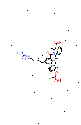 CC(CC(=O)O)N1C(=O)c2cc(CCCCCNC(=N)N)ccc2N(Cc2ccccc2)C(=O)C1c1ccccc1.O=C(O)C(F)(F)F